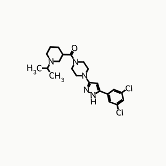 CC(C)N1CCCC(C(=O)N2CCN(c3cc(-c4cc(Cl)cc(Cl)c4)[nH]n3)CC2)C1